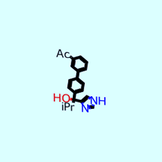 CC(=O)c1cccc(-c2ccc(C(O)(c3c[nH]cn3)C(C)C)cc2)c1